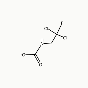 [O]C(=O)NCC(F)(Cl)Cl